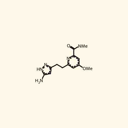 CNC(=O)c1cc(OC)cc(CCc2cc(N)[nH]n2)n1